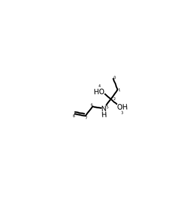 [CH2]CC(O)(O)NCC=C